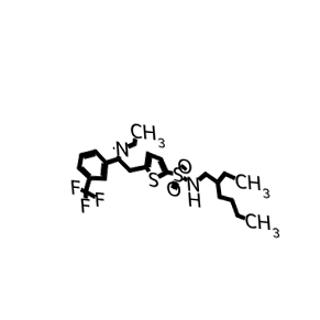 CCCCC(CC)CNS(=O)(=O)c1ccc(CC([N]CC)c2cccc(C(F)(F)F)c2)s1